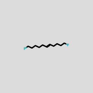 FCCCCC=CCCCCCF